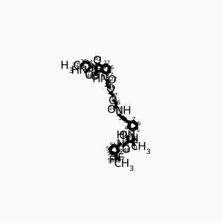 CC1=NN(c2cccc(C#CCNC(=O)COCCOCC(=O)Nc3cccc4c3C(=O)N(C3CCC(C)NC3=O)C4=O)c2)C(=O)C1C(=O)Nc1cccc(C(C)(F)F)c1